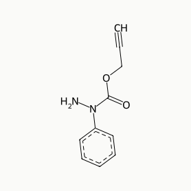 C#CCOC(=O)N(N)c1ccccc1